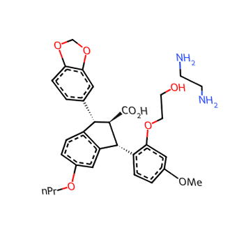 CCCOc1ccc2c(c1)[C@@H](c1ccc(OC)cc1OCCO)[C@H](C(=O)O)[C@H]2c1ccc2c(c1)OCO2.NCCN